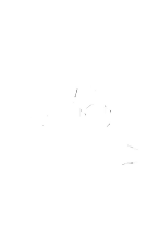 O=C(Cc1cccs1)Nc1nc2c(s1)CCCC2C(=O)O